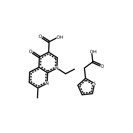 CCn1cc(C(=O)O)c(=O)c2ccc(C)nc21.O=C(O)Cc1cccs1